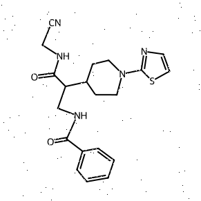 N#CCNC(=O)C(CNC(=O)c1ccccc1)C1CCN(c2nccs2)CC1